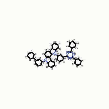 c1ccc(-c2cccc(-n3c4ccccc4c4c3ccc3c5ccccc5n(-c5cccc(-c6nc(-c7ccccc7)nc(-c7ccccc7)n6)c5)c34)c2)cc1